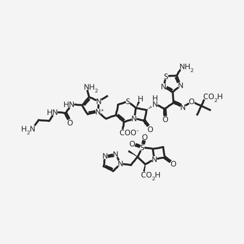 C[C@]1(Cn2ccnn2)[C@H](C(=O)O)N2C(=O)CC2S1(=O)=O.Cn1c(N)c(NC(=O)NCCN)c[n+]1CC1=C(C(=O)[O-])N2C(=O)[C@@H](NC(=O)/C(=N/OC(C)(C)C(=O)O)c3nsc(N)n3)[C@H]2SC1